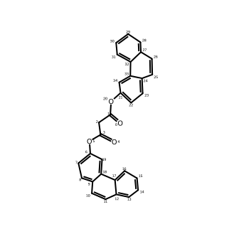 O=C(CC(=O)Oc1ccc2ccc3ccccc3c2c1)Oc1ccc2ccc3ccccc3c2c1